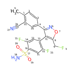 Cc1ccc(-c2noc(CF)c2-c2cc(F)c(S(N)(=O)=O)cc2F)cc1C#N